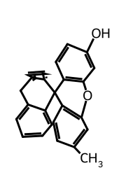 Cc1ccc2c(c1)Oc1cc(O)ccc1C21c2ccccc2Cc2ccccc21